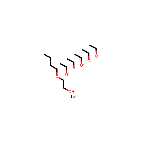 CCCCOCCO.CC[O-].CC[O-].CC[O-].CC[O-].CC[O-].[Ta+5]